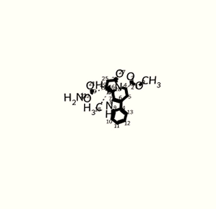 COC(=O)[C@@H]1Cc2c([nH]c3ccccc23)[C@@]23C[C@H](C)[C@@H](C(=O)ON)[C@@H]2CC(=O)N13